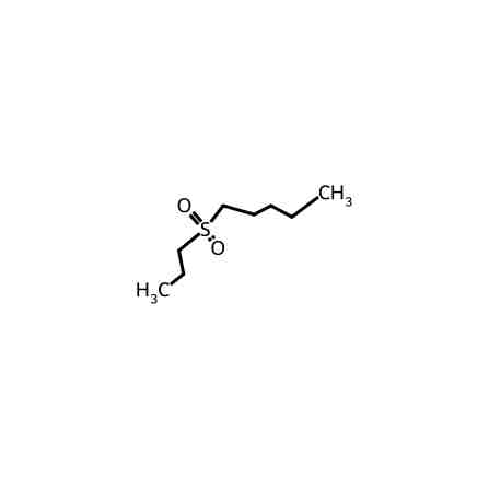 CCCCCS(=O)(=O)CCC